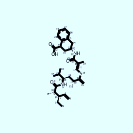 C=C[C@@H](CC)[C@H](C)C(=O)N[C@H](C[C@@H](C)C(=C)S/C=C(\C)C(=O)N[C@H]1Cc2ccccc2C(C(=O)O)C1)C(C)C